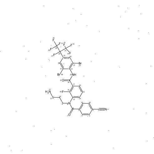 N#Cc1ccc(C(=O)N(CCSN)c2cccc(C(=O)Nc3c(Br)cc(C(F)(C(F)(F)F)C(F)(F)F)cc3Br)c2F)cc1